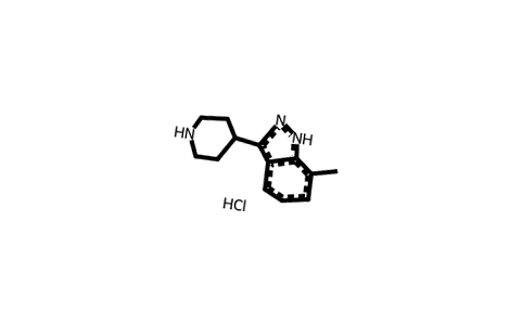 Cc1cccc2c(C3CCNCC3)n[nH]c12.Cl